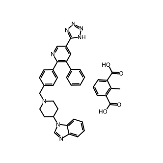 Cc1c(C(=O)O)cccc1C(=O)O.c1ccc(-c2cc(-c3nnn[nH]3)cnc2-c2ccc(CN3CCC(n4cnc5ccccc54)CC3)cc2)cc1